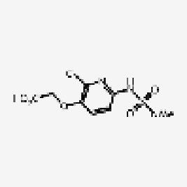 CNS(=O)(=O)Nc1ccc(OCC(=O)O)c(Cl)n1